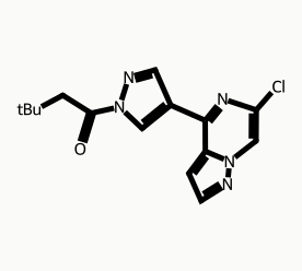 CC(C)(C)CC(=O)n1cc(-c2nc(Cl)cn3nccc23)cn1